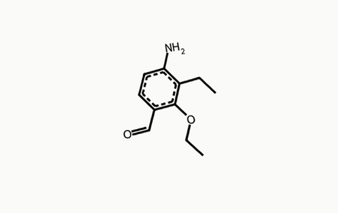 CCOc1c(C=O)ccc(N)c1CC